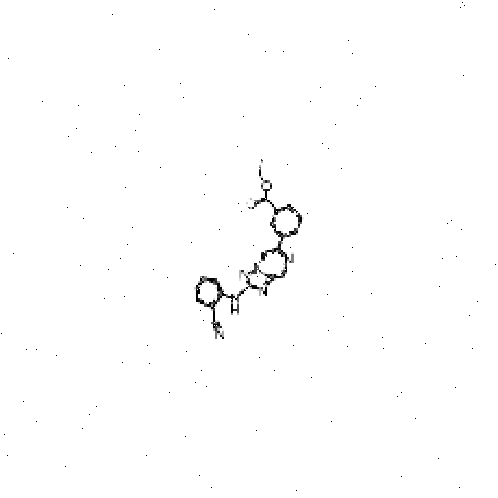 CCOC(=O)c1cccc(-c2cn3nc(Nc4ccccc4C#N)nc3cn2)c1